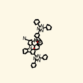 N#Cc1cc(-n2c3ccccc3c3cc(-c4nc(-c5ccccc5)nc(-c5ccccc5)n4)ccc32)c(-c2ccccc2C(F)(F)F)c(-n2c3ccccc3c3cc(-c4nc(-c5ccccc5)nc(-c5ccccc5)n4)ccc32)c1